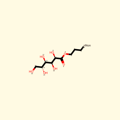 CCCCCCCCCCCCOC(=O)[C@H](O)[C@@H](O)[C@H](O)[C@H](O)CO